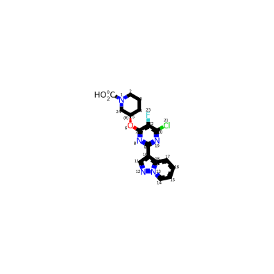 O=C(O)N1CCC[C@@H](Oc2nc(-c3cnn4ccccc34)nc(Cl)c2F)C1